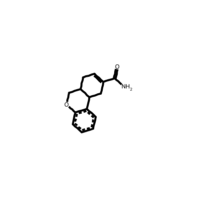 NC(=O)C1=CCC2COc3ccccc3C2C1